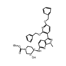 Cn1nc(-c2ccc(OCc3ccccc3)nc2OCc2ccccc2)c2ccc(N[C@@H]3CCN(C(=O)OC(C)(C)C)C[C@H]3O)nc21